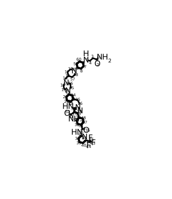 NC(=O)CCNc1ccc(N2CCC(CN3CCN(c4ccc5c(c4)CCn4nc(-c6ccc(C(=O)Nc7cccc(C(F)(F)F)n7)cc6)c(C(N)=O)c4N5)CC3)CC2)cc1